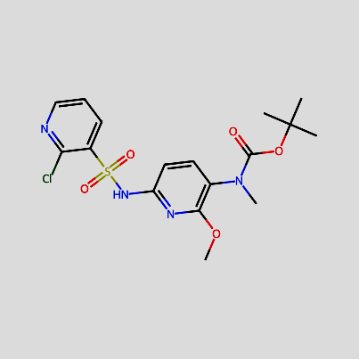 COc1nc(NS(=O)(=O)c2cccnc2Cl)ccc1N(C)C(=O)OC(C)(C)C